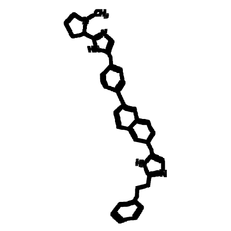 CN1CCCC1c1ncc(-c2ccc(-c3ccc4c(c3)=CCC(c3cnc(CCc5ccccc5)[nH]3)C=4)cc2)[nH]1